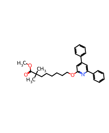 COC(=O)C(C)(C)CCCCCCOc1cc(-c2ccccc2)cc(-c2ccccc2)n1